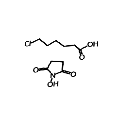 O=C(O)CCCCCCl.O=C1CCC(=O)N1O